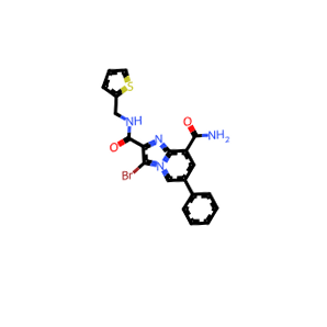 NC(=O)c1cc(-c2ccccc2)cn2c(Br)c(C(=O)NCc3cccs3)nc12